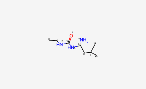 CCNC(=O)N[C@H](N)CC(C)C